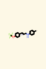 [CH2]c1ccc(NC/C=C/c2ccc(OC(F)(F)F)cc2)cc1